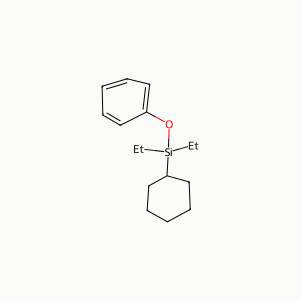 CC[Si](CC)(Oc1ccccc1)C1CCCCC1